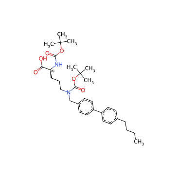 CCCCc1ccc(-c2ccc(CN(CCC[C@H](NC(=O)OC(C)(C)C)C(=O)O)C(=O)OC(C)(C)C)cc2)cc1